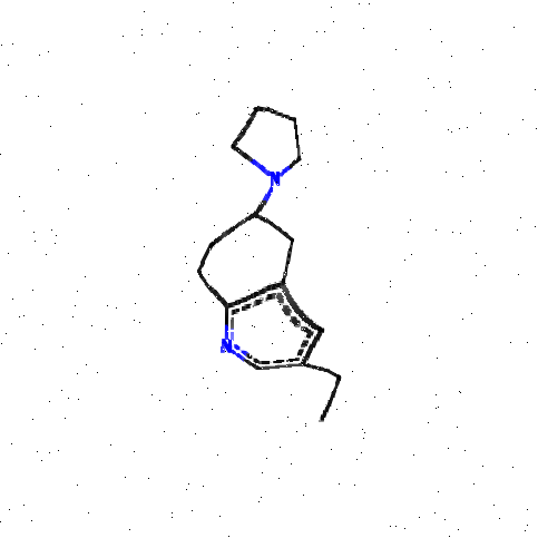 CCc1cnc2c(c1)CC(N1CCCC1)CC2